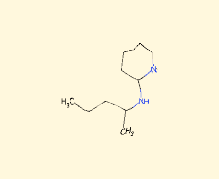 CCCC(C)NC1CCCC[N]1